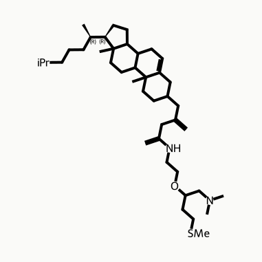 C=C(CC(=C)NCCOC(CCSC)CN(C)C)CC1CCC2(C)C(=CCC3C2CCC2(C)C3CC[C@@H]2[C@H](C)CCCC(C)C)C1